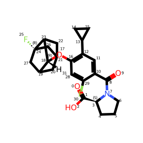 O=C(O)[C@@H]1CCCN1C(=O)c1cc(C2CC2)c(O[C@@H]2C3CC4CC2[C@@](F)(C4)C3)cc1F